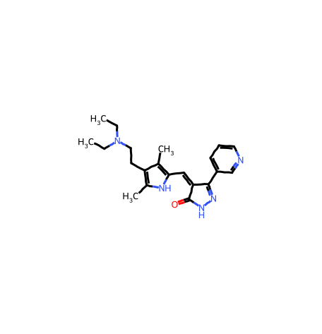 CCN(CC)CCc1c(C)[nH]c(C=C2C(=O)NN=C2c2cccnc2)c1C